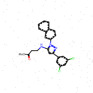 COC(=O)CCNc1cc(-c2cc(Cl)cc(Cl)c2)nn1-c1ccc2ccccc2c1